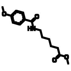 COC(=O)CCCCCNC(=O)c1ccc(OC)cc1